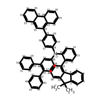 CC1(C)c2ccccc2-c2c(-c3ccccc3N(c3ccc(C4=C5C=CC=CC5C5C=CC=CC5=C4)cc3)c3ccc(-c4ccccc4)c(-c4ccccc4)c3)cccc21